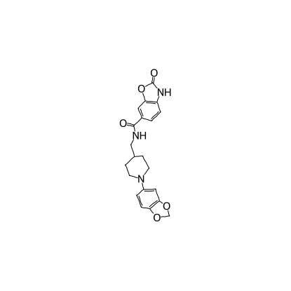 O=C(NCC1CCN(c2ccc3c(c2)OCO3)CC1)c1ccc2[nH]c(=O)oc2c1